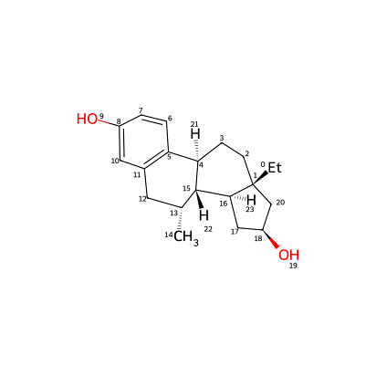 CC[C@]12CC[C@@H]3c4ccc(O)cc4C[C@@H](C)[C@H]3[C@@H]1C[C@H](O)C2